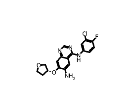 Nc1cc2c(Nc3ccc(F)c(Cl)c3)ncnc2cc1O[C@@H]1CCOC1